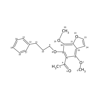 COc1c(C(C)=O)c(OCCCc2ccccc2)c(OC)c2occc12